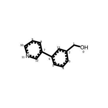 OCc1cccc(-c2cccnc2)c1